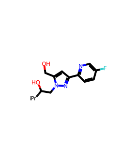 CC(C)C(O)Cn1nc(-c2ccc(F)cn2)cc1CO